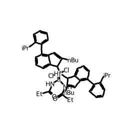 CCCCC1=Cc2c(-c3ccccc3C(C)C)cccc2[CH]1[Hf]([Cl])([Cl])([B](NC(=O)CC)NC(=O)CC)[CH]1C(CCCC)=Cc2c(-c3ccccc3C(C)C)cccc21